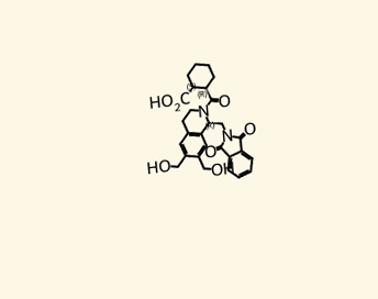 O=C(O)[C@H]1CCCC[C@H]1C(=O)N1CCc2cc(CO)c(CO)cc2[C@@H]1CN1C(=O)c2ccccc2C1=O